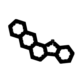 c1ccc2cc3c(ccc4c5ccccc5oc34)cc2c1